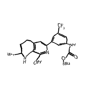 CC(C)C1CCc2cc(-c3cc(NC(=O)OC(C)(C)C)cc(C(F)(F)F)c3)nc(O)c2N1